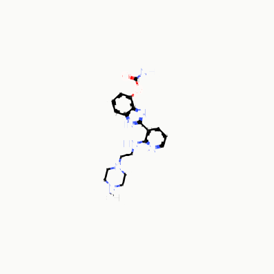 CN1CCN(CCNc2ncccc2-c2nc3c(OC(N)=O)cccc3[nH]2)CC1